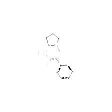 NN[C@H](CN1CCCC1)c1ccccc1